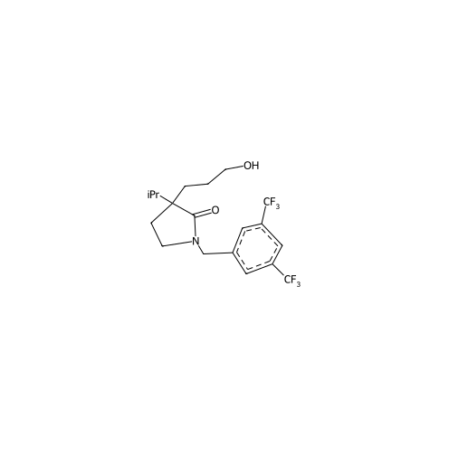 CC(C)C1(CCCO)CCN(Cc2cc(C(F)(F)F)cc(C(F)(F)F)c2)C1=O